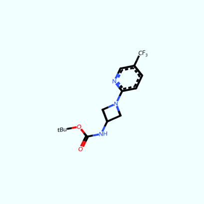 CC(C)(C)OC(=O)NC1CN(c2ccc(C(F)(F)F)cn2)C1